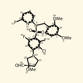 COc1ccc(CN(c2cccc(F)n2)S(=O)(=O)c2c(F)cc(N3CC[C@](C=O)(OC)C3)c(Cl)c2F)c(OC)c1